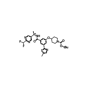 Cc1cnc(-c2cc(OC3CCN(C(=O)OC(C)(C)C)CC3)cc(C(=O)N[C@H](C)c3cnc(C(F)F)nc3)c2)s1